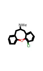 CNC1Cc2ccccc2Oc2c(Cl)cccc2C1